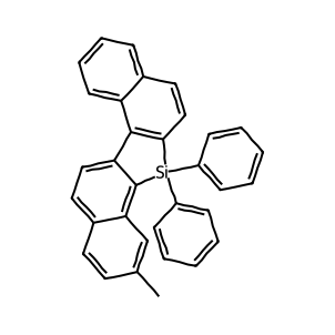 Cc1ccc2ccc3c(c2c1)[Si](c1ccccc1)(c1ccccc1)c1ccc2ccccc2c1-3